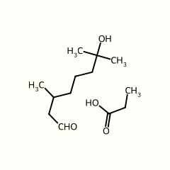 CC(CC=O)CCCC(C)(C)O.CCC(=O)O